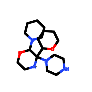 C1CCN(C2OCC[N]C2(C2CCCCO2)N2CCNCC2)CC1